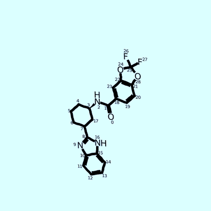 O=C(N[C@@H]1CCCC(c2nc3ccccc3[nH]2)C1)c1ccc2c(c1)OC(F)(F)O2